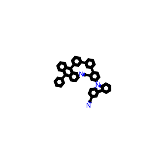 N#Cc1ccc2c(c1)c1ccccc1n2-c1ccc(-c2cccc(-c3cccc(-c4c5ccccc5c(-c5ccccc5)c5ccccc45)c3)c2)c(C#N)c1